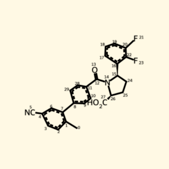 Cc1ccc(C#N)cc1-c1ccc(C(=O)N2[C@@H](c3cccc(F)c3F)CC[C@H]2C(=O)O)cc1